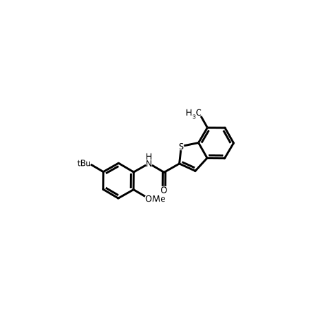 COc1ccc(C(C)(C)C)cc1NC(=O)c1cc2cccc(C)c2s1